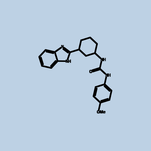 COc1ccc(NC(=O)NC2CCCC(c3nc4ccccc4[nH]3)C2)cc1